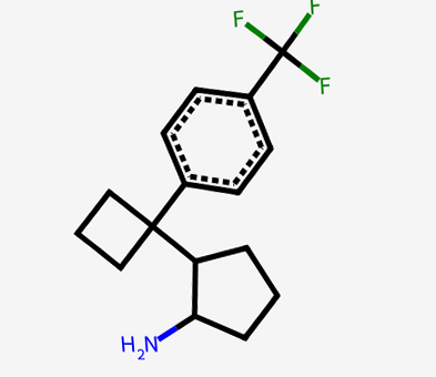 NC1CCCC1C1(c2ccc(C(F)(F)F)cc2)CCC1